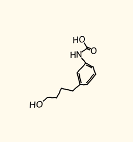 O=C(O)Nc1cccc(CCCCO)c1